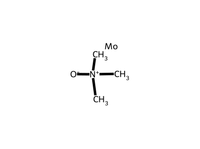 C[N+](C)(C)[O-].[Mo]